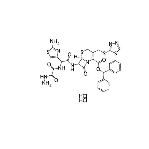 Cl.Cl.NNC(=O)C(=O)NC(C(=O)NC1C(=O)N2C(C(=O)OC(c3ccccc3)c3ccccc3)=C(CSc3nncs3)CS[C@H]12)c1csc(N)n1